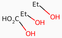 CCO.CCO.O=C(O)O